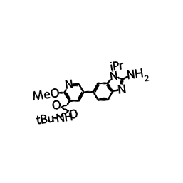 COc1ncc(-c2ccc3nc(N)n(C(C)C)c3c2)cc1S(=O)(=O)NC(C)(C)C